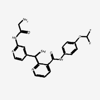 NCC(=O)Nc1cc(C(S)c2ncccc2C(=O)Nc2ccc(OC(F)F)cc2)ccn1